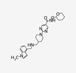 Cn1ccc2c(CNCC3CCN(c4ncc(C(=O)NOC5CCCCO5)cn4)CC3)cccc21